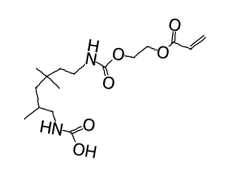 C=CC(=O)OCCOC(=O)NCCC(C)(C)CC(C)CNC(=O)O